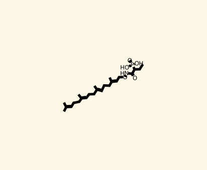 CCC(C(=O)NOC/C=C(\C)CC/C=C(\C)CC/C=C(\C)CCC=C(C)C)P(=O)(O)O